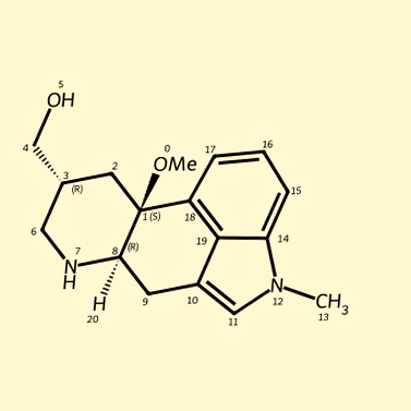 CO[C@]12C[C@@H](CO)CN[C@@H]1Cc1cn(C)c3cccc2c13